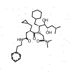 CC(C)C[C@H](O)[C@H](O)[C@H](CC1CCCCC1)N(CC(=O)N(C)C)C(=O)[C@@H](CC(=O)NCCc1ccccc1)CC1CC1